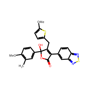 COc1ccc(CC2=C(c3ccc4nsnc4c3)C(=O)OC2(O)c2ccc(OC)c(C)c2)s1